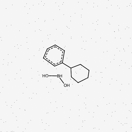 OBO.c1ccc(C2CCCCC2)cc1